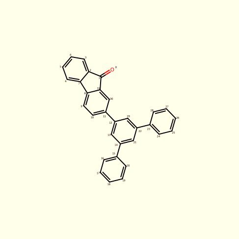 O=C1c2ccccc2-c2ccc(-c3cc(-c4ccccc4)cc(-c4ccccc4)c3)cc21